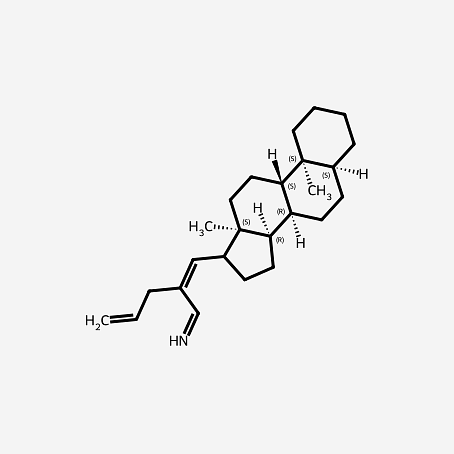 C=CCC(C=N)=CC1CC[C@@H]2[C@@H]3CC[C@@H]4CCCC[C@]4(C)[C@H]3CC[C@]12C